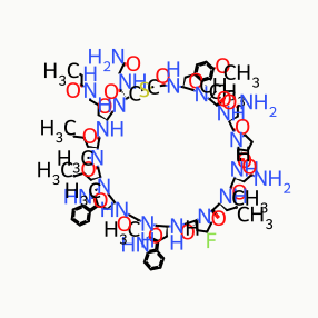 CCCC[C@H]1C(=O)N(C)[C@@H](CCCC)C(=O)N[C@@H](CCCNC(=O)CC)C(=O)N[C@H](C(=O)NCC(N)=O)CSCC(=O)N[C@@H](Cc2ccc(OC)cc2)C(=O)N(C)[C@@H](C)C(=O)N[C@@H](CC(N)=O)C(=O)N2CCC[C@H]2C(=O)N[C@@H](CC(N)=O)C(=O)N[C@@H](CC(C)C)C(=O)N2C[C@H](F)C[C@H]2C(=O)N[C@@H](Cc2c[nH]c3ccccc23)C(=O)N[C@@H](C)C(=O)N[C@@H](Cc2c[nH]c3ccccc23)C(=O)N1C